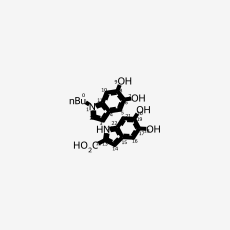 CCCCn1ccc2cc(O)c(O)cc21.O=C(O)c1cc2cc(O)c(O)cc2[nH]1